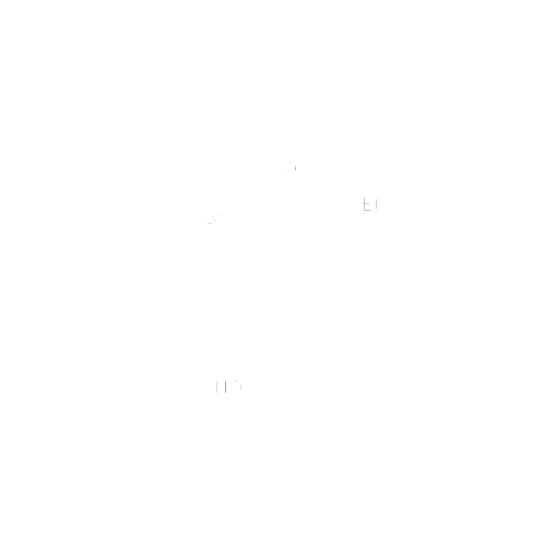 CCC(=O)c1ccc(O)c(F)c1Br